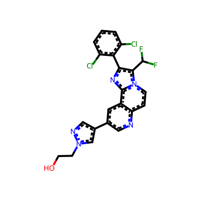 OCCn1cc(-c2cnc3ccn4c(C(F)F)c(-c5c(Cl)cccc5Cl)nc4c3c2)cn1